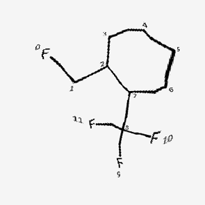 FCC1CCCCC1C(F)(F)F